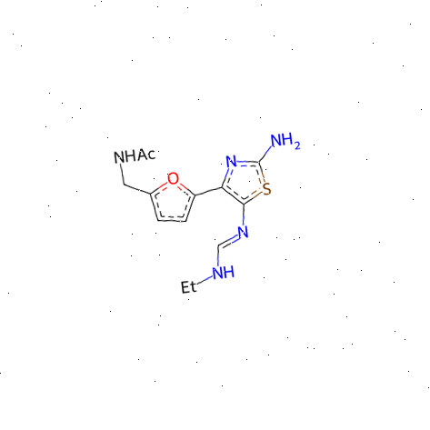 CCNC=Nc1sc(N)nc1-c1ccc(CNC(C)=O)o1